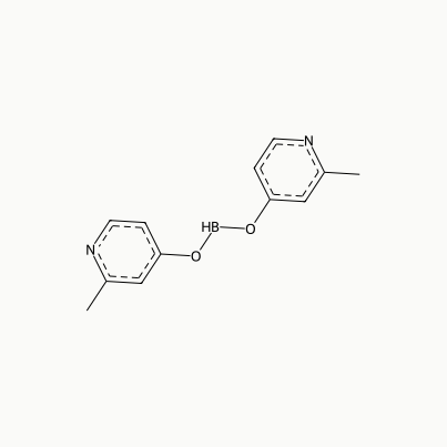 Cc1cc(OBOc2ccnc(C)c2)ccn1